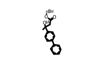 CCCCOC(=O)CC(C)(O)c1ccc(-c2ccccc2)cc1